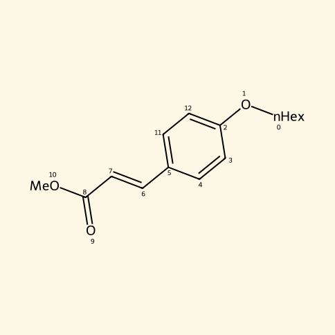 CCCCCCOc1ccc(C=CC(=O)OC)cc1